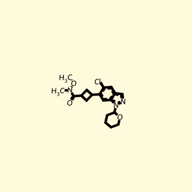 CON(C)C(=O)C1CC(c2cc3c(cnn3C3CCCCO3)cc2Cl)C1